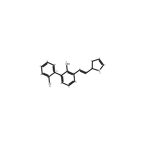 Oc1c(C=CC2CC=CS2)cccc1-c1ccccc1Cl